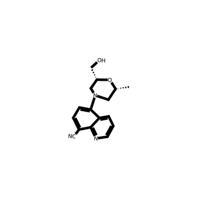 C[C@@H]1CN(c2ccc(C#N)c3ncccc23)C[C@H](CO)O1